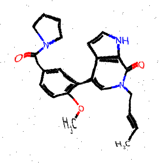 CC=CCn1cc(-c2cc(C(=O)N3CCCC3)ccc2OC)c2cc[nH]c2c1=O